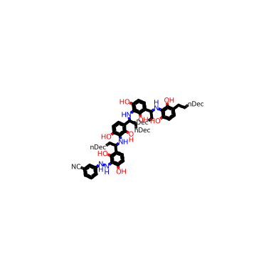 CCCCCCCCCCCCc1ccc(O)c(NC(CCCCCCCCCCC)c2ccc(O)c(NC(CCCCCCCCCCC)c3ccc(O)c(NC(CCCCCCCCCCC)c4ccc(O)c(NNc5cccc(C#N)c5)c4O)c3O)c2O)c1O